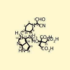 C[C@@H]1CCN(C(C#N)C=O)C[C@@H]1N(C)c1ncnc2[nH]ccc12.O=C(O)CC(O)(CC(=O)O)C(=O)O